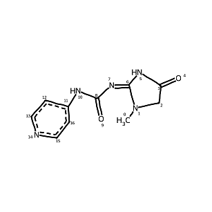 CN1CC(=O)NC1=NC(=O)Nc1ccncc1